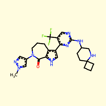 Cn1cc(N2CCCc3c(-c4nc(NC5CCC6(CCC6)NC5)ncc4C(F)(F)F)c[nH]c3C2=O)cn1